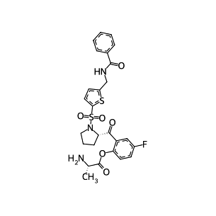 C[C@H](N)C(=O)Oc1ccc(F)cc1C(=O)[C@@H]1CCCN1S(=O)(=O)c1ccc(CNC(=O)c2ccccc2)s1